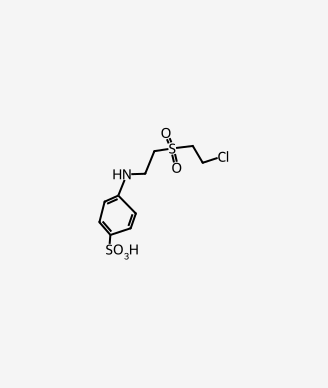 O=S(=O)(CCCl)CCNc1ccc(S(=O)(=O)O)cc1